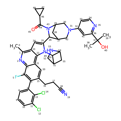 Cc1nc2c(F)c(-c3cccc(Cl)c3Cl)c(CCC#N)cc2c2c1cc(C1C3CC(CN(c4ccnc(C(C)(C)O)c4)C3)N1C(=O)C1CC1)n2C1C2CNC1C2